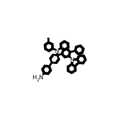 Cc1cccc(N(c2ccccc2)C2(c3ccc(-c4ccccc4)c(-n4c5ccccc5c5ccccc54)c3)C=CC(c3ccc(N)cc3)C=C2)c1